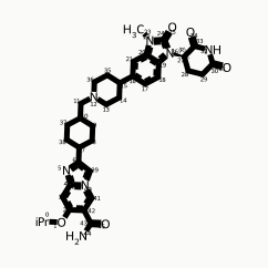 CC(C)Oc1cc2nc(C3CCC(CN4CCC(c5ccc6c(c5)n(C)c(=O)n6[C@@H]5CCC(=O)NC5=O)CC4)CC3)cn2cc1C(N)=O